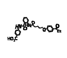 CCC(=O)c1ccc(OCCCCC(=O)Nc2ccccc2C(=O)Nc2ccc(C(=O)O)cc2)cc1